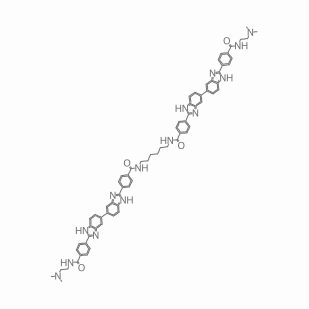 CN(C)CCNC(=O)c1ccc(-c2nc3cc(-c4ccc5[nH]c(-c6ccc(C(=O)NCCCCCCNC(=O)c7ccc(-c8nc9cc(-c%10ccc%11[nH]c(-c%12ccc(C(=O)NCCN(C)C)cc%12)nc%11c%10)ccc9[nH]8)cc7)cc6)nc5c4)ccc3[nH]2)cc1